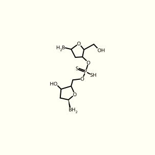 BC1CC(OP(=S)(S)OCC2O[C@@H](B)CC2O)C(CO)O1